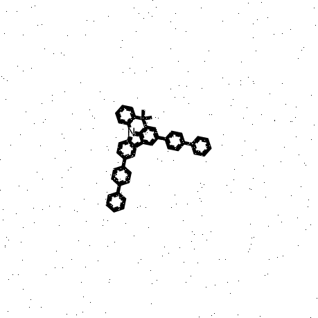 CC1(C)c2ccccc2-n2c3ccc(-c4ccc(-c5ccccc5)cc4)cc3c3cc(-c4ccc(-c5ccccc5)cc4)cc1c32